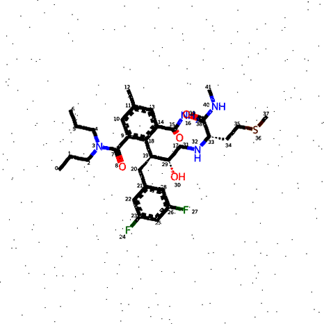 CCCN(CCC)C(=O)c1cc(C)cc(C(N)=O)c1[C@H](Cc1cc(F)cc(F)c1)[C@@H](O)CN[C@@H](CCSC)C(=O)NC